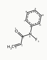 C=[C]C(=O)N(F)c1ccccc1